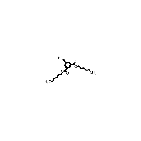 C#Cc1cc(C(=O)OCCCCCC)cc(C(=O)OCCCCCC)c1